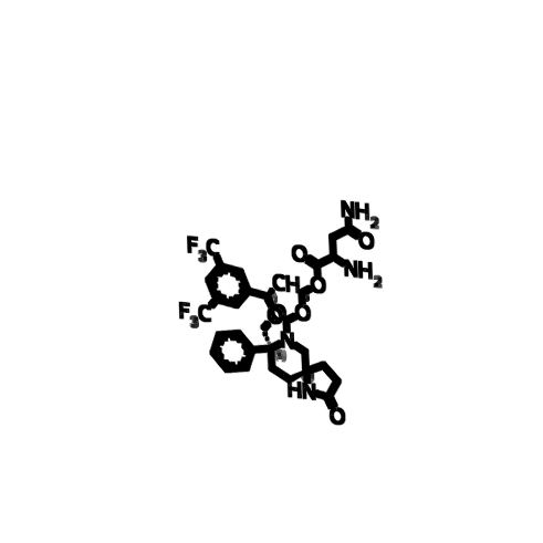 C[C@@H](OC[C@@]1(c2ccccc2)CC[C@]2(CCC(=O)N2)CN1C(=O)OCOC(=O)C(N)CC(N)=O)c1cc(C(F)(F)F)cc(C(F)(F)F)c1